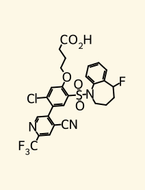 N#Cc1cc(C(F)(F)F)ncc1-c1cc(S(=O)(=O)N2CCCC(F)c3ccccc32)c(OCCCC(=O)O)cc1Cl